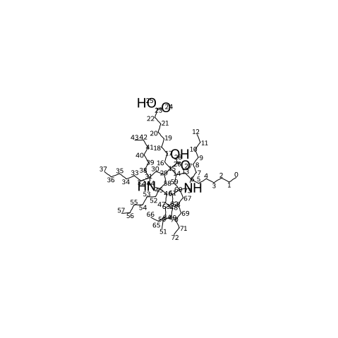 CCCCCCC1(CCCCCC)CC(C(CCCCCCCC(=O)O)(C(=O)O)C2CC(CCCCCC)(CCCCCC)NC(CCCCCC)(CCCCCC)C2)CC(CCCCCC)(CCCCCC)N1